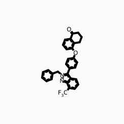 O=C1CCCc2c(Oc3ccc(-c4c5cccc(C(F)(F)F)c5nn4Cc4ccccc4)cc3)cccc21